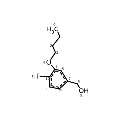 CCCCOc1cc(CO)ccc1F